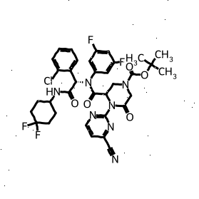 CC(C)(C)OC(=O)N1CC(=O)N(c2nccc(C#N)n2)C(C(=O)N(c2cc(F)cc(F)c2)[C@H](C(=O)NC2CCC(F)(F)CC2)c2ccccc2Cl)C1